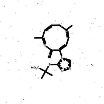 C=C1/N=C(C)\C=C/C/C(C)=C\C=C/1n1cnnc1SC(C)(C)C(=O)O